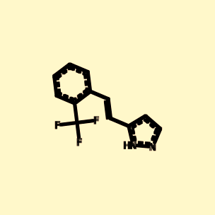 FC(F)(F)c1ccccc1C=Cc1ccn[nH]1